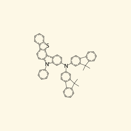 CC1(C)c2ccccc2-c2ccc(N(c3ccc4c(c3)C(C)(C)c3ccccc3-4)c3ccc4c5c6sc7ccccc7c6ccc5n(-c5ccccc5)c4c3)cc21